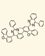 Cc1cc(-c2nc(-c3ccccc3)c3ccccc3n2)c2c(oc3ccccc32)c1-c1cccc2c(-c3cccc4oc5ccccc5c34)nc(-c3ccccc3)nc12